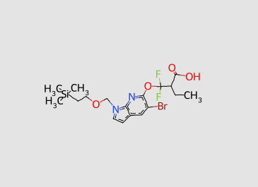 CCC(C(=O)O)C(F)(F)Oc1nc2c(ccn2COCC[Si](C)(C)C)cc1Br